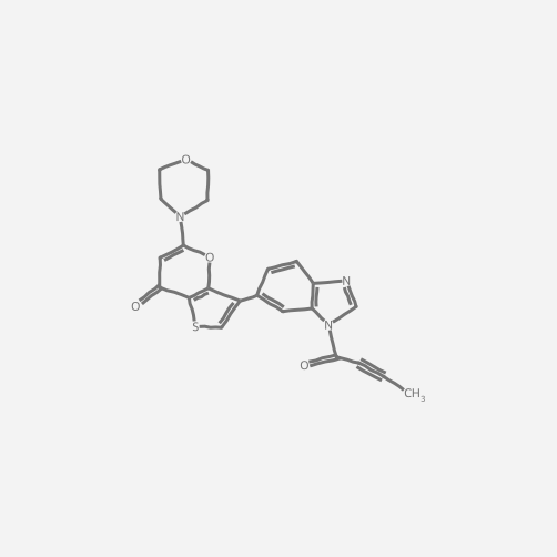 CC#CC(=O)n1cnc2ccc(-c3csc4c(=O)cc(N5CCOCC5)oc34)cc21